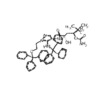 CC(C)(C)C(C[C@H](O)C(=O)Nc1cnn(CCOC(c2ccccc2)(c2ccccc2)c2ccccc2)c1NC(c1ccccc1)(c1ccccc1)c1ccccc1)OC(N)=O